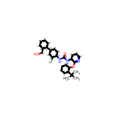 CC(C)(C)c1ccccc1Oc1ncccc1NC(=O)Nc1ccc(-c2ccccc2CO)cc1F